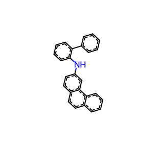 c1ccc(-c2ccccc2Nc2ccc3ccc4ccccc4c3c2)cc1